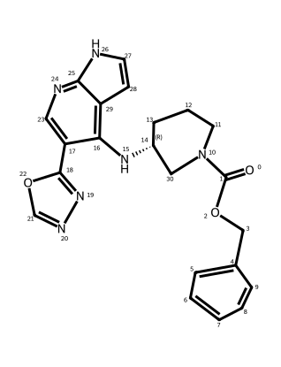 O=C(OCc1ccccc1)N1CCC[C@@H](Nc2c(-c3nnco3)cnc3[nH]ccc23)C1